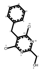 OCc1nc(Cl)c(Cc2ccccc2)c(Cl)n1